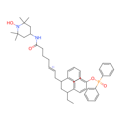 CCC(CC(C/C=C/CCCC(=O)NC1CC(C)(C)N(O)C(C)(C)C1)c1ccccc1)c1ccc(OP(=O)(c2ccccc2)c2ccccc2)cc1